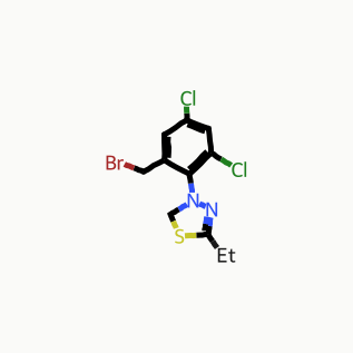 [CH2]CC1=NN(c2c(Cl)cc(Cl)cc2CBr)CS1